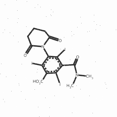 CN(C)C(=O)c1c(I)c(C(=O)O)c(I)c(N2C(=O)CCCC2=O)c1I